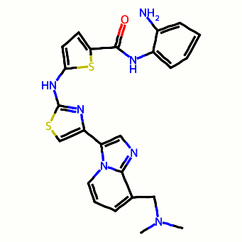 CN(C)Cc1cccn2c(-c3csc(Nc4ccc(C(=O)Nc5ccccc5N)s4)n3)cnc12